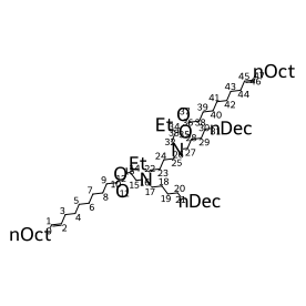 CCCCCCCC/C=C/CCCCCCCC(=O)OC(CC)CN(CCCCCCCCCCCCCC)CCCCN(CCCCCCCCCCCCCC)CC(CC)OC(=O)CCCCCCC/C=C/CCCCCCCC